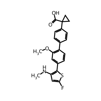 CNc1cc(F)sc1-c1ccc(-c2ccc(C3(C(=O)O)CC3)cc2)c(OC)c1